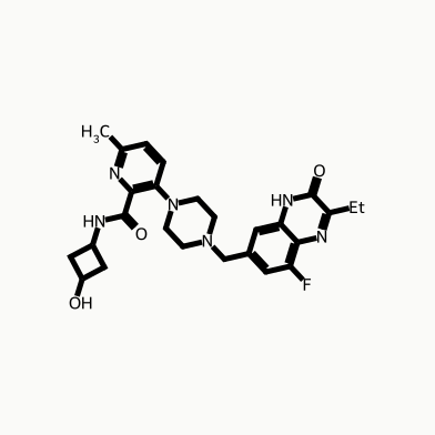 CCc1nc2c(F)cc(CN3CCN(c4ccc(C)nc4C(=O)NC4CC(O)C4)CC3)cc2[nH]c1=O